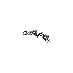 CC(C)(C)c1cc(NC(=O)Nc2ccc3oc(C(=O)c4cc5c(CN6CCN(c7ncccn7)CC6)c(O)ccc5[nH]4)cc3c2)no1